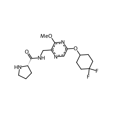 COc1nc(OC2CCC(F)(F)CC2)cnc1CNC(=O)[C@@H]1CCCN1